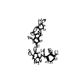 COc1cc2ncnc(Nc3cccc(Cl)c3F)c2cc1OCc1cc(F)c2c(c1)CN(C1CCC(=O)NC1=O)C2=O